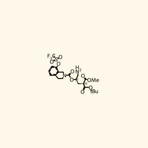 COC(=O)[C@H](C[C@H](CN)OC(=O)N1CCc2cccc(OS(=O)(=O)C(F)(F)F)c2C1)C(=O)OC(C)(C)C